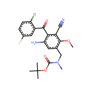 COc1c(CN(C)C(=O)OC(C)(C)C)cc(N)c(C(=O)c2cc(F)ccc2Cl)c1C#N